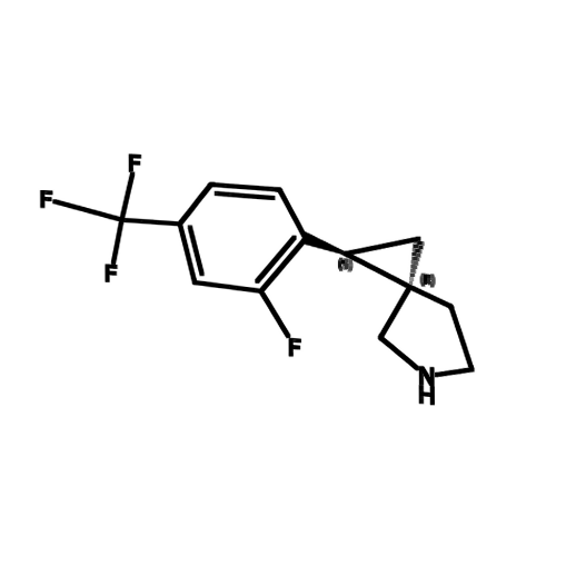 Fc1cc(C(F)(F)F)ccc1[C@H]1C[C@@]12CCNC2